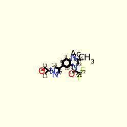 CC(=O)N1c2ccc(-c3cnn(C4COC4)c3)cc2N(C(=O)C(F)F)CC1C